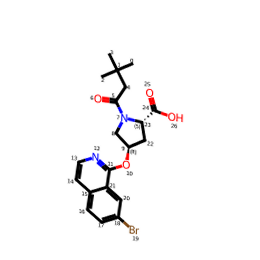 CC(C)(C)CC(=O)N1C[C@H](Oc2nccc3ccc(Br)cc23)C[C@H]1C(=O)O